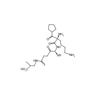 CCC[C@H](NC(=O)[C@@](N)(CCCCN)C(=O)C1CCCC1)C(=O)CCC(=S)NCC(C)C(=O)O